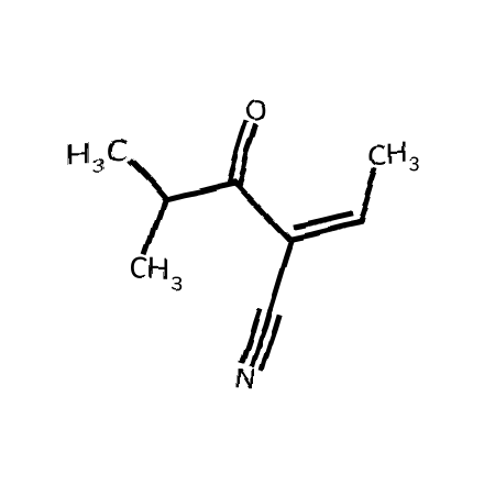 CC=C(C#N)C(=O)C(C)C